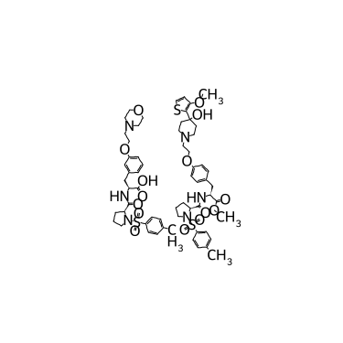 COC(=O)[C@H](Cc1ccc(OCCN2CCC(O)(c3sccc3OC)CC2)cc1)NC(=O)[C@@H]1CCCN1S(=O)(=O)c1ccc(C)cc1.Cc1ccc(S(=O)(=O)N2CCC[C@H]2C(=O)N[C@@H](Cc2cccc(OCCN3CCOCC3)c2)C(=O)O)cc1